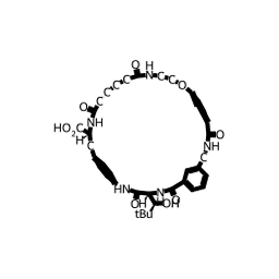 CC(C)(C)[C@H](O)[C@@H]1NC(=O)c2cccc(c2)CNC(=O)c2ccc(cc2)OCCNC(=O)CCCCC(=O)N[C@H](C(=O)O)Cc2ccc(cc2)NC1=O